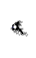 CC(C)(C)OC(=O)N[C@@H]1C(=O)N2C[C@H](NC(=O)OCC[Si](C)(C)C)C[C@H]2C(=O)N[C@]2(C(=O)O)C[C@H]2/C=C/CCSC1(C)C